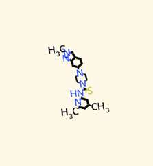 Cc1cc(C)nc(NC(=S)N2CCN(c3ccc4cn(C)nc4c3)CC2)c1